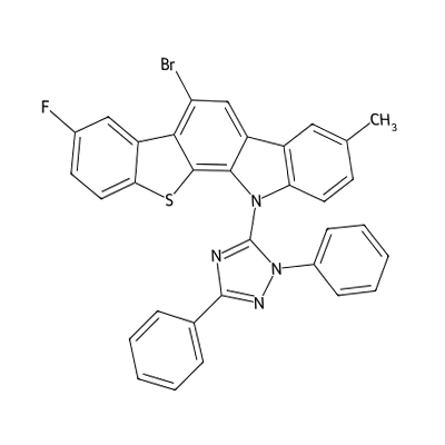 Cc1ccc2c(c1)c1cc(Br)c3c4cc(F)ccc4sc3c1n2-c1nc(-c2ccccc2)nn1-c1ccccc1